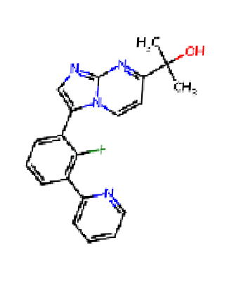 CC(C)(O)c1ccn2c(-c3cccc(-c4ccccn4)c3F)cnc2n1